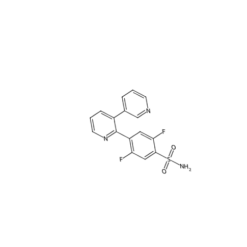 NS(=O)(=O)c1cc(F)c(-c2ncccc2-c2cccnc2)cc1F